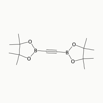 CC1(C)OB(C#CB2OC(C)(C)C(C)(C)O2)OC1(C)C